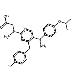 CC(C)Oc1ccc(N(N)c2cnc(N(N)CC(=O)O)nc2Cc2ccc(Cl)cc2)cc1